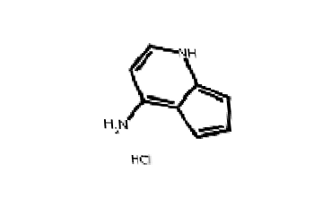 Cl.Nc1cc[nH]c2cccc1-2